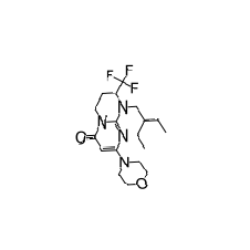 CCC(CC)CN1c2nc(N3CCOCC3)cc(=O)n2CCC1C(F)(F)F